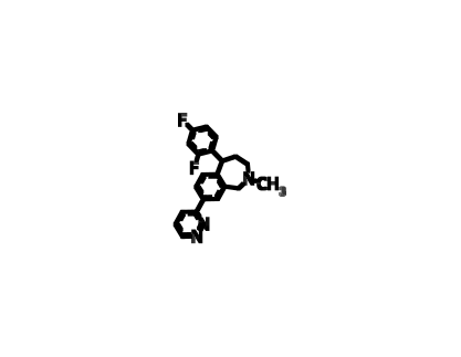 CN1CCC(c2ccc(F)cc2F)c2ccc(-c3cccnn3)cc2C1